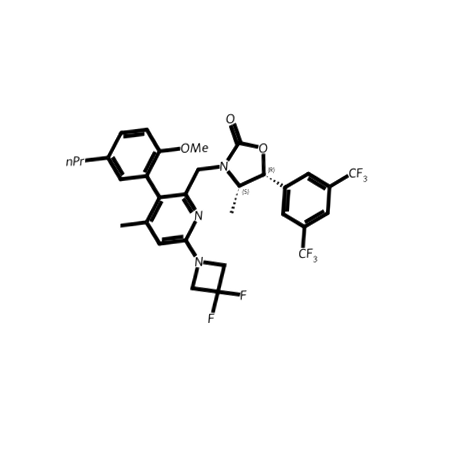 CCCc1ccc(OC)c(-c2c(C)cc(N3CC(F)(F)C3)nc2CN2C(=O)O[C@H](c3cc(C(F)(F)F)cc(C(F)(F)F)c3)[C@@H]2C)c1